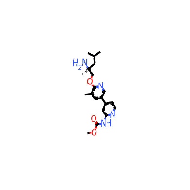 COC(=O)Nc1cc(-c2cnc(OC[C@@](C)(N)CC(C)C)c(C)c2)ccn1